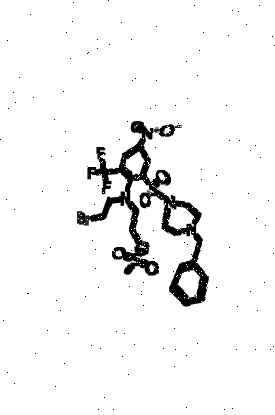 CS(=O)(=O)OCCN(CCBr)c1c(C(F)(F)F)cc([N+](=O)[O-])cc1S(=O)(=O)N1CCN(Cc2ccccc2)CC1